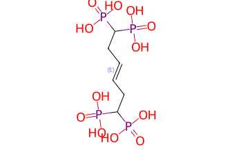 O=P(O)(O)C(C/C=C/CC(P(=O)(O)O)P(=O)(O)O)P(=O)(O)O